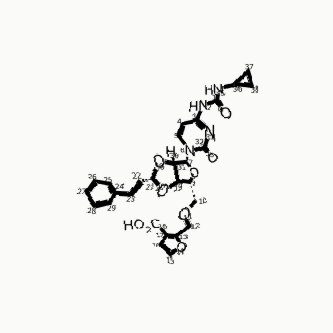 O=C(Nc1ccn([C@@H]2O[C@H](COCc3occc3C(=O)O)C3O[C@H](/C=C/c4ccccc4)O[C@@H]32)c(=O)n1)NC1CC1